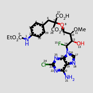 CCOC(=O)Nc1ccc(CC(OC[C@@H](OC)[C@@H](O)[C@H](F)n2cnc3c(N)nc(Cl)nc32)(C(=O)O)C(=O)O)cc1